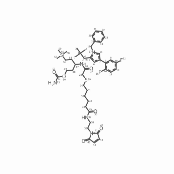 CC(C)(C)[C@H](c1cc(-c2cc(F)ccc2F)cn1Cc1ccccc1)N(C(=O)CSCCCCCC(=O)NCCN1C(=O)C=CC1=O)C(CCOC(N)=O)CC[Si](C)(C)C